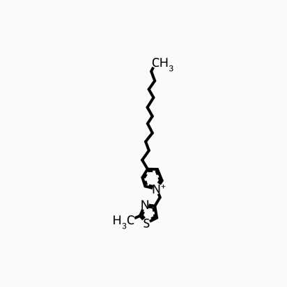 CCCCCCCCCCCCc1cc[n+](Cc2csc(C)n2)cc1